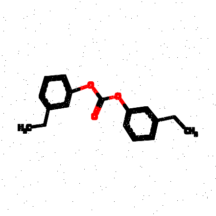 CCc1cccc(OC(=O)Oc2cccc(CC)c2)c1